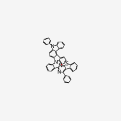 c1ccc(-c2nc(-c3ccccc3-n3c4ccccc4c4c5c6ccccc6n(-c6ccccc6)c5ccc43)nc3sc4ccccc4c23)cc1